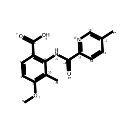 COc1ccc(C(=O)O)c(NC(=O)c2ccc(C)cn2)c1C